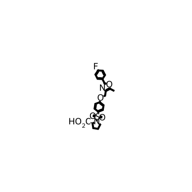 Cc1oc(-c2ccc(F)cc2)nc1COc1ccc(S(=O)(=O)N2CCC[C@@H]2C(=O)O)cc1